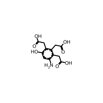 Nc1cc(O)c(CC(=O)O)c(CC(=O)O)c1CC(=O)O